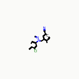 C=C/C(Cl)=C\C(=C/C)N(Cc1cc(C#N)ccc1C)N=C